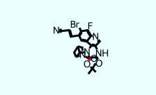 CC(C)(C)OC(=O)N1CC2CC1C2N1CC(=O)Nc2cnc3c(F)c(Br)c(/C=C/C#N)cc3c21